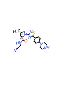 C[C@H]1C[C@@H](C(=O)NCC#N)N(c2nsc(-c3ccc(N4CCNCC4)cc3)n2)C1